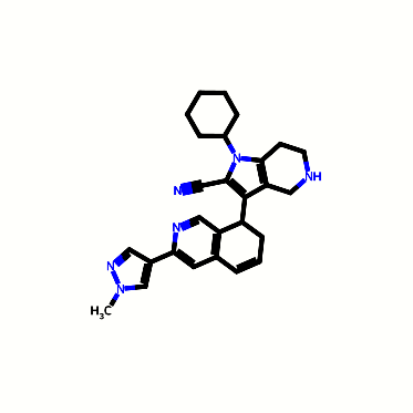 Cn1cc(-c2cc3c(cn2)C(c2c4c(n(C5CCCCC5)c2C#N)CCNC4)CC=C3)cn1